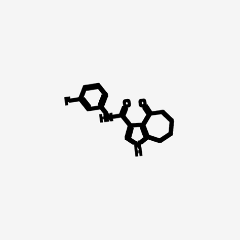 O=C(Nc1cccc(F)c1)c1c[nH]c2c1C(=O)CCCC2